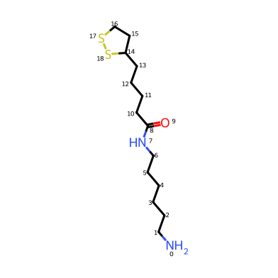 NCCCCCCNC(=O)CCCCC1CCSS1